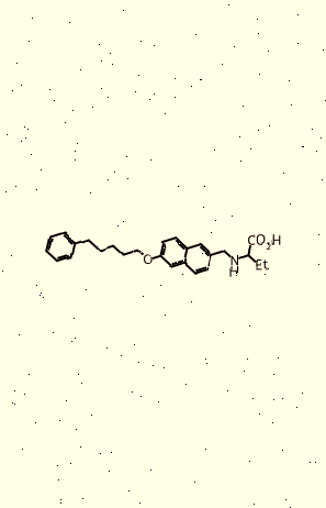 CCC(NCc1ccc2cc(OCCCCCc3ccccc3)ccc2c1)C(=O)O